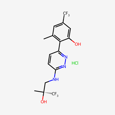 Cc1cc(C(F)(F)F)cc(O)c1-c1ccc(NC[C@](C)(O)C(F)(F)F)nn1.Cl